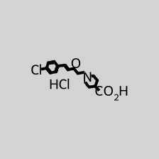 Cl.O=C(C=Cc1ccc(Cl)cc1)CCN1CCC(C(=O)O)CC1